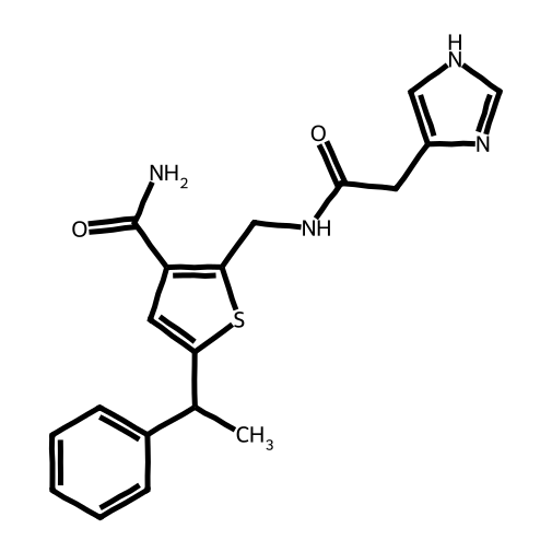 CC(c1ccccc1)c1cc(C(N)=O)c(CNC(=O)Cc2c[nH]cn2)s1